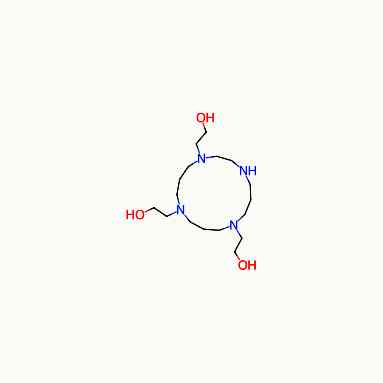 OCCN1CCCNCCN(CCO)CCCN(CCO)CCC1